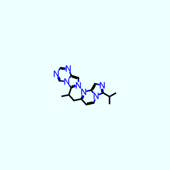 CC(C)c1ncc2nc(CC(C)c3ncc4ncncn34)ccn12